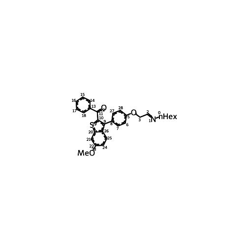 CCCCCCN=CCOc1ccc(-c2c(C(=O)c3ccccc3)sc3cc(OC)ccc23)cc1